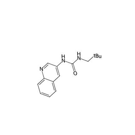 CC(C)(C)CNC(=O)Nc1cnc2ccccc2c1